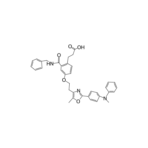 Cc1oc(-c2ccc(N(C)c3ccccc3)cc2)nc1CCOc1ccc(CCC(=O)O)c(C(=O)NCc2ccccc2)c1